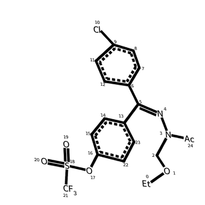 CCOCN(N=C(c1ccc(Cl)cc1)c1ccc(OS(=O)(=O)C(F)(F)F)cc1)C(C)=O